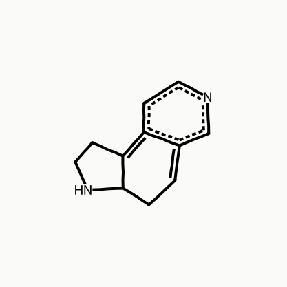 C1=c2cnccc2=C2CCNC2C1